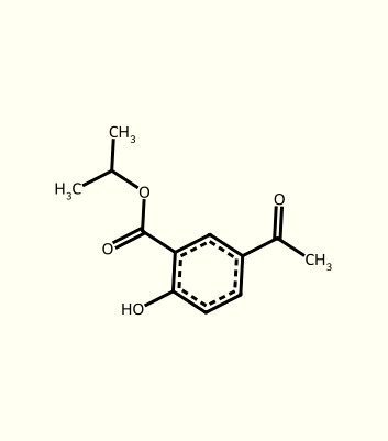 CC(=O)c1ccc(O)c(C(=O)OC(C)C)c1